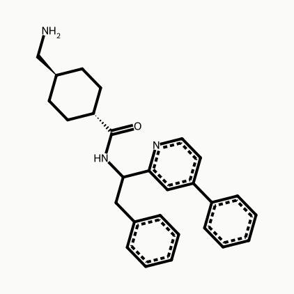 NC[C@H]1CC[C@H](C(=O)NC(Cc2ccccc2)c2cc(-c3ccccc3)ccn2)CC1